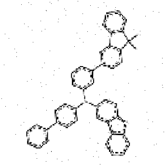 CC1(C)c2ccccc2-c2cc(-c3cccc(N(c4ccc(-c5ccccc5)cc4)c4ccc5sc6ccccc6c5c4)c3)ccc21